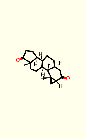 C[C@]12[C@@H](CC[C@@H]3[C@@H]1CC[C@]1(C)C(=O)CC[C@@H]31)CC(=O)[C@@H]1C[C@@H]12